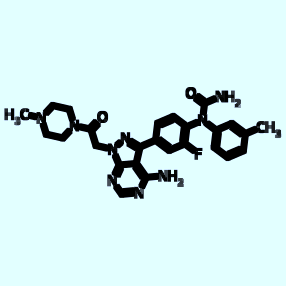 Cc1cccc(N(C(N)=O)c2ccc(-c3nn(CC(=O)N4CCN(C)CC4)c4ncnc(N)c34)cc2F)c1